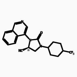 N#C[C@@H]1CN(C2CCC(C(F)(F)F)CC2)C(=O)N1c1cncc2ccccc12